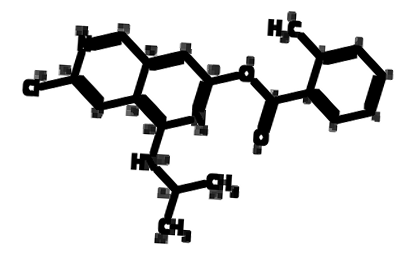 Cc1ccccc1C(=O)Oc1cc2cnc(Cl)cc2c(NC(C)C)n1